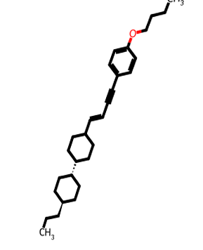 CCCCOc1ccc(C#C/C=C/C2CCC([C@H]3CC[C@H](CCC)CC3)CC2)cc1